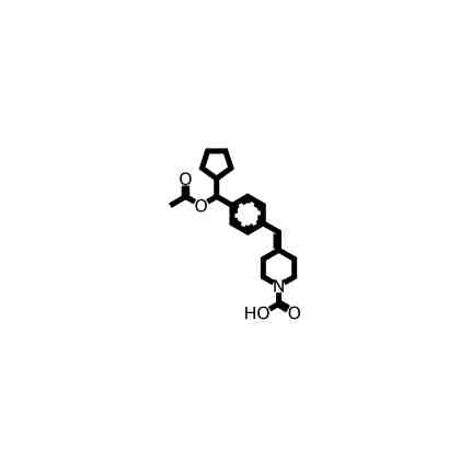 CC(=O)OC(c1ccc(C=C2CCN(C(=O)O)CC2)cc1)C1CCCC1